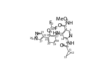 CONC(=O)c1cnc(NC(=O)C2CC2)cc1Nc1cccc(-c2cnn(C)c2)c1OC(F)F